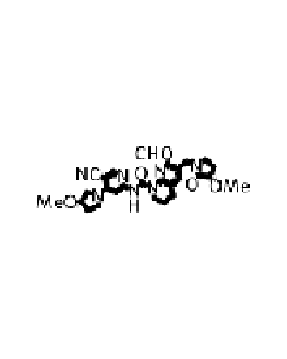 CO[C@@H]1CCN(c2cc(NC(=O)N3CCCc4cc(CN5CC[C@H](OC)C5=O)c(C=O)nc43)ncc2C#N)C1